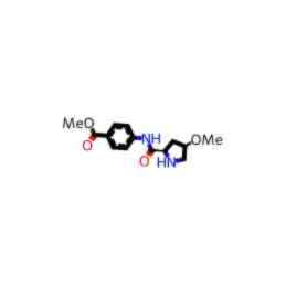 COC(=O)c1ccc(NC(=O)[C@H]2C[C@@H](OC)CN2)cc1